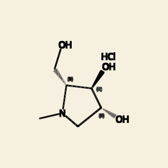 CN1C[C@@H](O)[C@H](O)[C@H]1CO.Cl